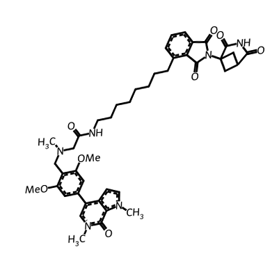 COc1cc(-c2cn(C)c(=O)c3c2ccn3C)cc(OC)c1CN(C)CC(=O)NCCCCCCCCc1cccc2c1C(=O)N(C13CC(C1)C(=O)NC3=O)C2=O